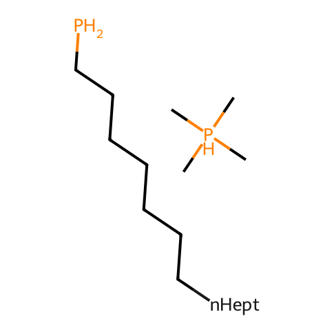 CCCCCCCCCCCCCCP.C[PH](C)(C)C